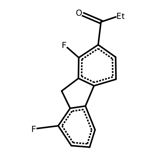 CCC(=O)c1ccc2c(c1F)Cc1c(F)cccc1-2